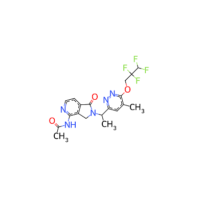 CC(=O)Nc1nccc2c1CN(C(C)c1cc(C)c(OCC(F)(F)C(F)F)nn1)C2=O